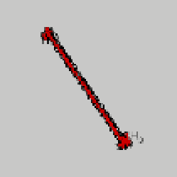 Cc1ccc(C(OC(=O)CCOCCOCCOCCOCCOCCOCCOCCOCCOCCOCCOCCOCCOCCOCCOCCOCCOCCOCCOCCOCCOCCOCCOCCOCCNC(=O)OCC2c3ccccc3-c3ccccc32)(c2ccccc2)c2ccccc2Cl)cc1